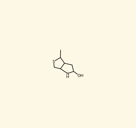 CC1SCC2NC(O)CC21